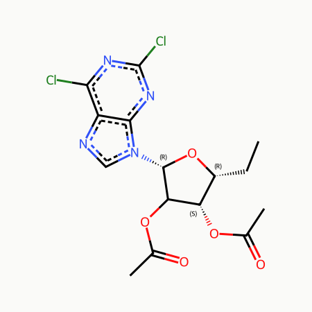 CC[C@H]1O[C@@H](n2cnc3c(Cl)nc(Cl)nc32)C(OC(C)=O)[C@H]1OC(C)=O